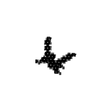 Cc1ccc(N(c2ccc(-c3ccc(-c4ccc(C(C)C)cc4)cc3)cc2)c2cc3c4ccccc4c(N(c4ccc(-c5ccc(-c6ccc(C(C)C)cc6)cc5)cc4)c4ccc(C)cc4C)cc3c3ccccc23)c(C)c1